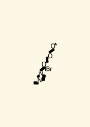 Br.C=CN1C=CN(CCOCCOCCOC)C1